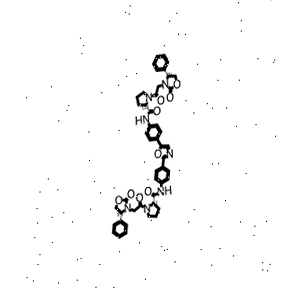 O=C(Nc1ccc(-c2cnc(-c3ccc(NC(=O)[C@@H]4CCCN4C(=O)CN4C(=O)OC[C@H]4c4ccccc4)cc3)o2)cc1)[C@@H]1CCCN1C(=O)CN1C(=O)OC[C@H]1c1ccccc1